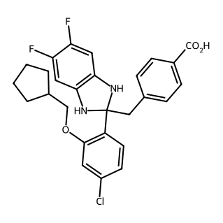 O=C(O)c1ccc(CC2(c3ccc(Cl)cc3OCC3CCCC3)Nc3cc(F)c(F)cc3N2)cc1